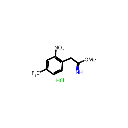 COC(=N)Cc1ccc(C(F)(F)F)cc1[N+](=O)[O-].Cl